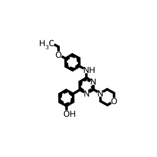 CCOc1ccc(Nc2cc(-c3cccc(O)c3)nc(N3CCOCC3)n2)cc1